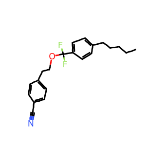 CCCCCc1ccc(C(F)(F)OCCc2ccc(C#N)cc2)cc1